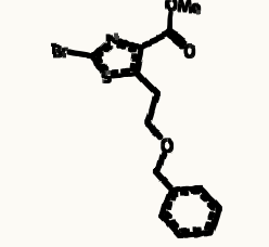 COC(=O)c1nc(Br)sc1CCOCc1ccccc1